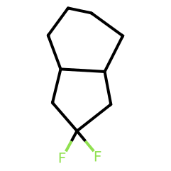 FC1(F)CC2CCCCC2C1